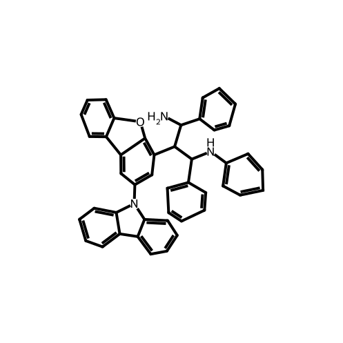 NC(c1ccccc1)C(c1cc(-n2c3ccccc3c3ccccc32)cc2c1oc1ccccc12)C(Nc1ccccc1)c1ccccc1